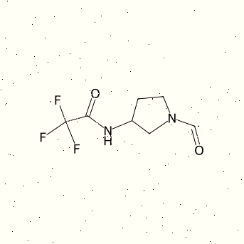 O=[C]N1CCC(NC(=O)C(F)(F)F)C1